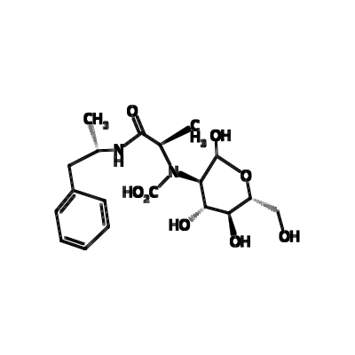 C[C@H](C(=O)N[C@@H](C)Cc1ccccc1)N(C(=O)O)[C@H]1C(O)O[C@H](CO)[C@@H](O)[C@@H]1O